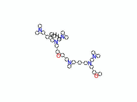 CC1(C)c2cc(-c3ccc4c(c3)c3ccccc3n4-c3ccccc3)ccc2-c2ccc(N(c3ccc(-c4ccc5oc6cc(-c7ccc(-n8c9ccccc9c9cc(-c%10ccc(-c%11ccc(N(c%12ccc(-c%13ccc%14oc%15ccccc%15c%14c%13)cc%12)c%12ccc(-n%13c%14ccccc%14c%14ccccc%14%13)cc%12)cc%11)cc%10)ccc98)cc7)ccc6c5c4)cc3)c3ccc(-n4c5ccccc5c5ccccc54)cc3)cc21